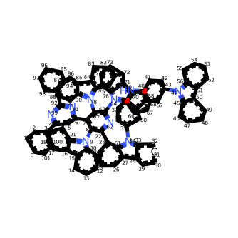 c1ccc(-c2cc(-c3c(-n4c5ccccc5c5ccccc54)c(-c4cccc5c6ccccc6n(-c6ccc7[nH]c8ccc(-n9c%10ccccc%10c%10ccccc%109)cc8c7c6)c45)nc(-n4c5ccccc5c5ccccc54)c3-n3c4ccccc4c4ccccc43)nc(-c3ccccc3)n2)cc1